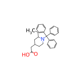 CCC1CC(CC(=O)O)CCN1C(c1ccccc1)(c1ccccc1)c1ccccc1